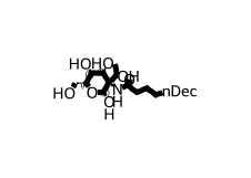 CCCCCCCCCCCCCC(=O)N[C@@]1(C(C)O)[C@@H](O)O[C@H](CO)[C@@H](O)[C@@H]1O